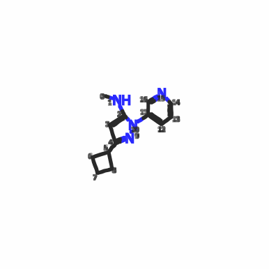 CNc1cc(C2CCC2)nn1-c1cccnc1